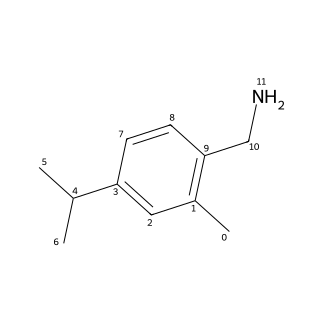 Cc1cc(C(C)C)ccc1CN